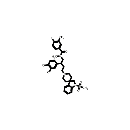 CN(CC(CCN1CCC2(CC1)CN(S(C)(=O)=O)c1ccccc12)c1ccc(Cl)c(Cl)c1)C(=O)c1ccc(F)c(C(F)(F)F)c1